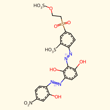 O=[N+]([O-])c1ccc(/N=N/c2ccc(O)c(/N=N/c3ccc(S(=O)(=O)CCOS(=O)(=O)O)cc3S(=O)(=O)O)c2O)c(O)c1